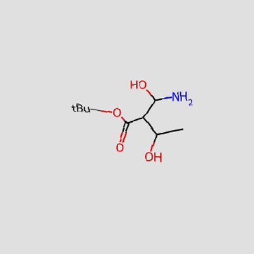 CC(O)C(C(=O)OC(C)(C)C)C(N)O